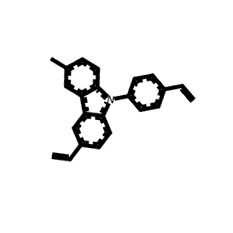 C=Cc1ccc(-n2c3ccc(C)cc3c3cc(C=C)ccc32)cc1